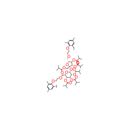 Cc1cc(C)c(OCCOC[C@H]2O[C@@](COC(=O)C(C)C)(O[C@H]3O[C@H](COCCOc4c(C)cc(C)cc4I)[C@@H](OC(=O)C(C)C)[C@H](OC(=O)C(C)C)[C@H]3OC(=O)C(C)C)[C@@H](OC(=O)C(C)C)[C@@H]2OC(=O)C(C)C)c(I)c1